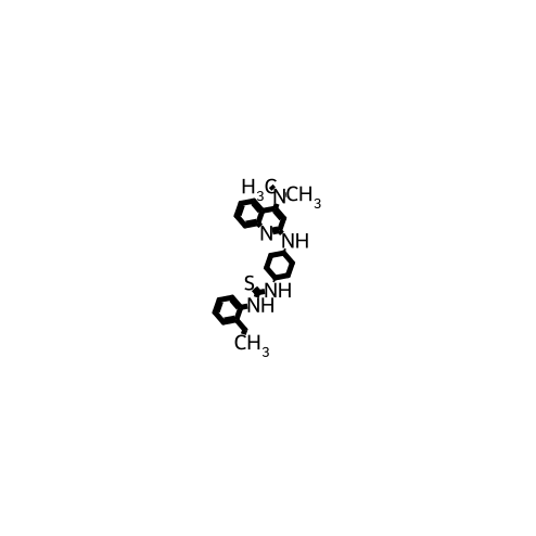 CCc1ccccc1NC(=S)N[C@H]1CC[C@@H](Nc2cc(N(C)C)c3ccccc3n2)CC1